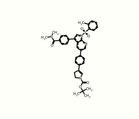 Cc1ccccc1S(=O)(=O)n1cc(-c2ccc(C(=O)N(C)C)cc2)c2cc(-c3ccc(C4=CN(C(=O)OC(C)(C)C)CC4)cc3)cnc21